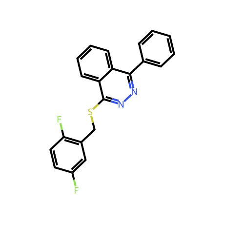 Fc1ccc(F)c(CSc2nnc(-c3ccccc3)c3ccccc23)c1